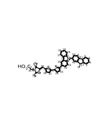 C[C@@H]1c2ccccc2-c2ccc(-n3c4ccccc4c4cc(-c5ccc(-c6ccc(/C=C7\SC(=S)N(CC(=O)O)C7=O)s6)s5)ccc43)cc21